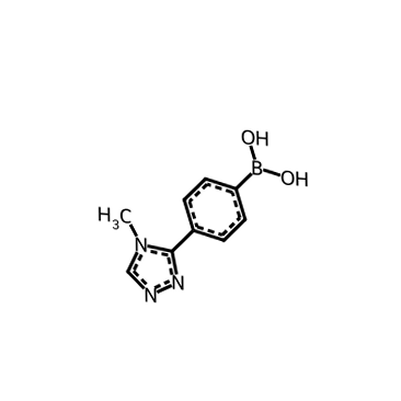 Cn1cnnc1-c1ccc(B(O)O)cc1